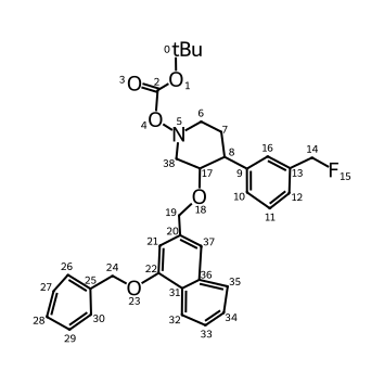 CC(C)(C)OC(=O)ON1CCC(c2cccc(CF)c2)C(OCc2cc(OCc3ccccc3)c3ccccc3c2)C1